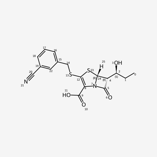 CC[C@H](O)[C@@H]1C(=O)N2C(C(=O)O)=C(SCc3cccc(C#N)c3)S[C@H]12